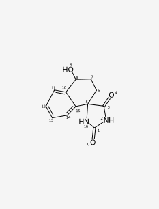 O=C1NC(=O)C2(CCC(O)c3ccccc32)N1